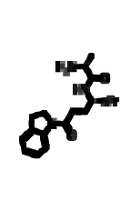 CCC[C@@H](/C=C/C(=O)N1CCc2ccccc21)NC(=O)[C@H](C)N